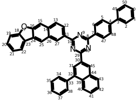 c1ccc(-c2ccc(-c3nc(-c4ccc5cc6oc7ccccc7c6cc5c4)nc(-c4cc(-c5ccccc5)c5ccccc5c4)n3)cc2)cc1